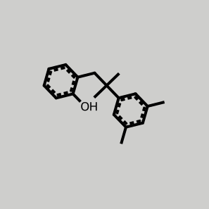 Cc1cc(C)cc(C(C)(C)Cc2ccccc2O)c1